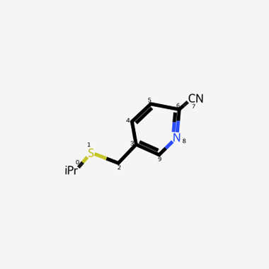 CC(C)SCc1ccc(C#N)nc1